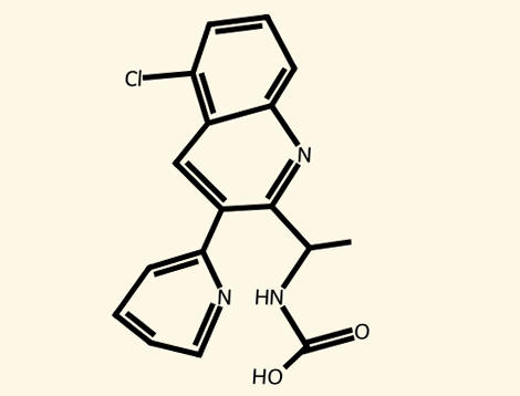 CC(NC(=O)O)c1nc2cccc(Cl)c2cc1-c1ccccn1